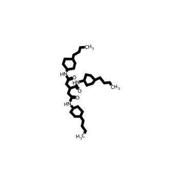 CCCCC1CCC(NC(=O)CC(CC(=O)NC2CCC(CCCC)CC2)C(=O)NC2CCC(CCCC)CC2)CC1